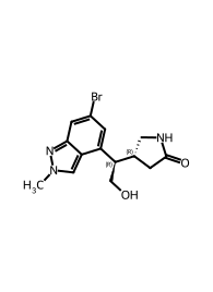 Cn1cc2c([C@H](CO)[C@@H]3CNC(=O)C3)cc(Br)cc2n1